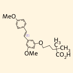 COc1ccc(/C=C/c2cc(OC)cc(OCCCC(C)(C)C(=O)O)c2)cc1